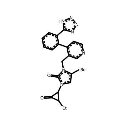 CCCCc1cn(C2C(=O)C2CC)c(=O)n1Cc1cnccc1-c1ccccc1-c1nnn[nH]1